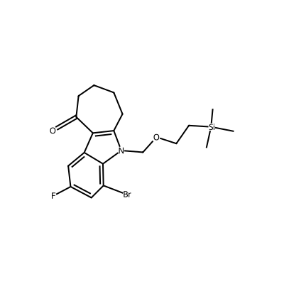 C[Si](C)(C)CCOCn1c2c(c3cc(F)cc(Br)c31)C(=O)CCCC2